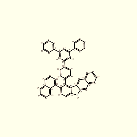 c1ccc(-c2nc(-c3ccccc3)nc(-c3ccc(-c4c(-c5cccc6ccccc56)ccc5oc6cc7ccccc7cc6c45)cc3)n2)cc1